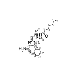 CCCCCCC(=O)OC(C)(C)Cn1c(CNCC)nc2c(N)nc3ccccc3c21